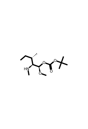 CC[C@H](C)[C@H](NC)[C@H](OC)OC(=O)OC(C)(C)C